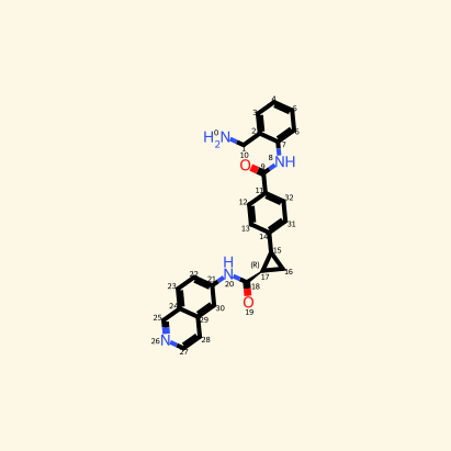 NCc1ccccc1NC(=O)c1ccc(C2C[C@H]2C(=O)Nc2ccc3cnccc3c2)cc1